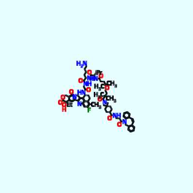 CCC1(O)C(=O)OCc2c1cc1n(c2=O)Cc2c-1nc1cc(F)c(C)c3c1c2C(NC(=O)CNC(=O)C(CCCCN)NC(=O)C(NC(=O)CCC(C)(C)OCCC(C)(C)C(=O)N1CC2(CCC(C(=O)NCCC(=O)N4Cc5ccccc5C#Cc5ccccc54)CC2)C1)C(C)C)CC3